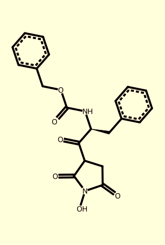 O=C(N[C@@H](Cc1ccccc1)C(=O)C1CC(=O)N(O)C1=O)OCc1ccccc1